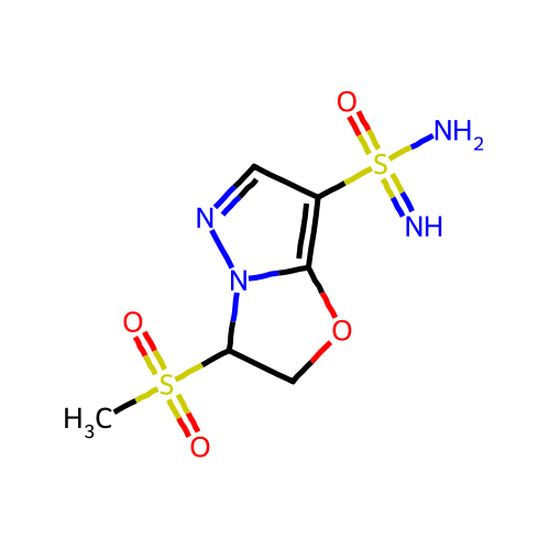 CS(=O)(=O)C1COc2c(S(=N)(N)=O)cnn21